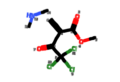 C=C(C(=O)OC)C(=O)C(Cl)(Cl)Cl.CNC